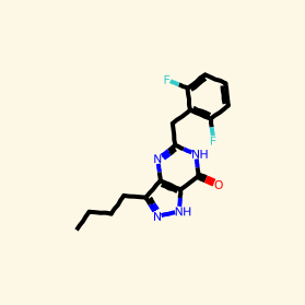 CCCCc1n[nH]c2c(=O)[nH]c(Cc3c(F)cccc3F)nc12